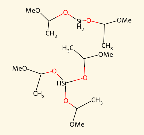 COC(C)O[SiH2]OC(C)OC.COC(C)O[SiH](OC(C)OC)OC(C)OC